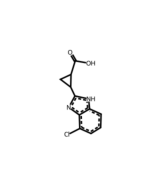 O=C(O)C1CC1c1nc2c(Cl)cccc2[nH]1